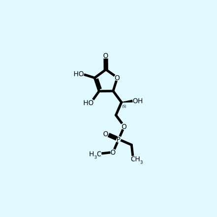 CCP(=O)(OC)OC[C@H](O)C1OC(=O)C(O)=C1O